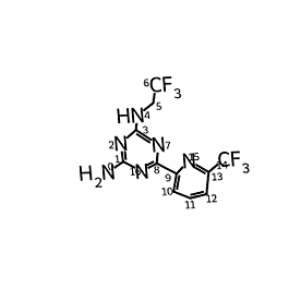 Nc1nc(NCC(F)(F)F)nc(-c2cccc(C(F)(F)F)n2)n1